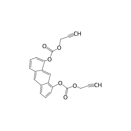 C#CCOC(=O)Oc1cccc2cc3cccc(OC(=O)OCC#C)c3cc12